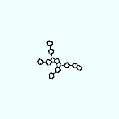 c1ccc(-c2ccc(-n3c4cc(-c5ccccc5)ccc4c4c5c6cc(-c7ccccc7)ccc6n(-c6ccc(-c7ccc8ccccc8c7)cc6)c5ccc43)cc2)cc1